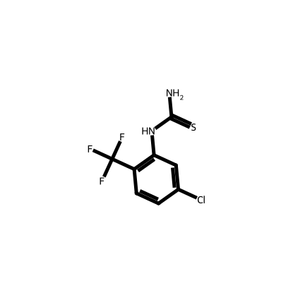 NC(=S)Nc1cc(Cl)ccc1C(F)(F)F